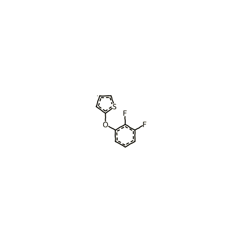 Fc1cccc(Oc2c[c]cs2)c1F